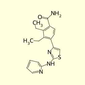 CCc1c(C(N)=O)ccc(-c2csc(Nc3ccccn3)n2)c1CC